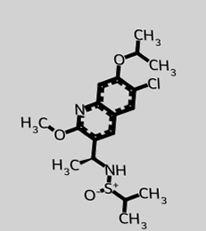 COc1nc2cc(OC(C)C)c(Cl)cc2cc1[C@H](C)N[S+]([O-])C(C)C